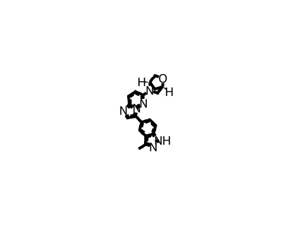 Cc1n[nH]c2ccc(-c3cnc4ccc(N5C[C@H]6C[C@@H]5CO6)nn34)cc12